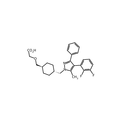 Cc1c(-c2cccc(F)c2F)c(-c2ccccc2)nn1C[C@H]1CC[C@H](COCC(=O)O)CC1